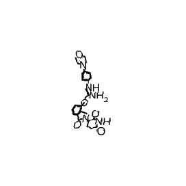 N/C(=C\Nc1ccc(N2CCOCC2)cc1)COc1cccc2c1CN(C1CCC(=O)NC1=O)C2=O